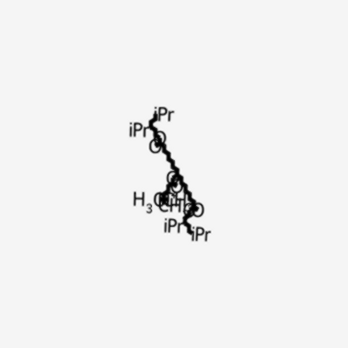 CC(C)CCC(CCOC(=O)CCCCCCCC(CCCCCCCC(=O)OCCC(CCC(C)C)C(C)C)OC(=O)CCC[N+](C)(C)C)C(C)C